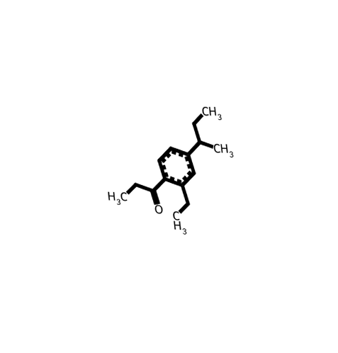 CCC(=O)c1ccc(C(C)CC)cc1CC